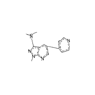 CN(C)c1nn(C)c2ncc(-c3ccncc3)cc12